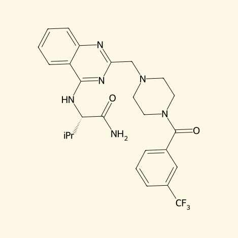 CC(C)[C@H](Nc1nc(CN2CCN(C(=O)c3cccc(C(F)(F)F)c3)CC2)nc2ccccc12)C(N)=O